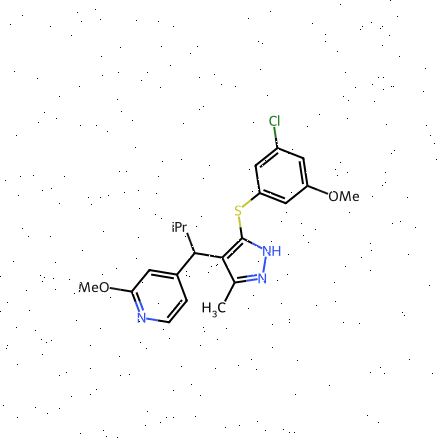 COc1cc(Cl)cc(Sc2[nH]nc(C)c2C(c2ccnc(OC)c2)C(C)C)c1